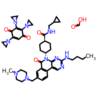 CCCCNc1ncc2c3ccc(CN4CCN(C)CC4)cc3c(=O)n([C@H]3CC[C@H](C(=O)NCC4CC4)CC3)c2n1.O=C1C=C(N2CC2)C(=O)C(N2CC2)=C1N1CC1.O=CO